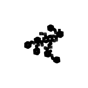 Cc1cccc(C(=O)NC(CCC(=O)OC(C)(C)C)C(=O)N(CCNC(=O)c2cccc(OCc3ccccc3)c2C)CCNC(=O)c2cccc(OCc3ccccc3)c2OCc2ccccc2)c1OCc1ccccc1